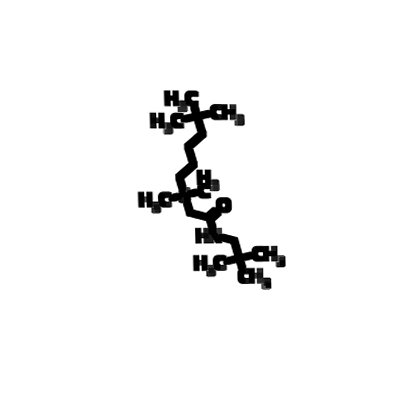 CC(C)(C)CCCCS(C)(C)CC(=O)NCC(C)(C)C